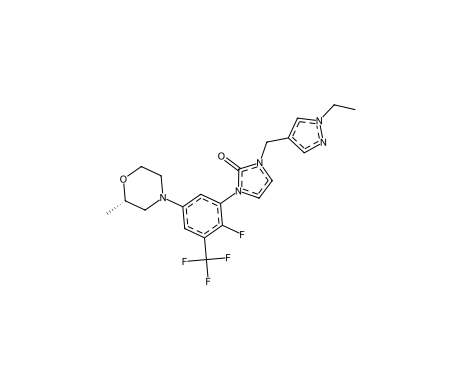 CCn1cc(Cn2ccn(-c3cc(N4CCO[C@@H](C)C4)cc(C(F)(F)F)c3F)c2=O)cn1